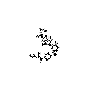 CCNC(=O)c1ccc(Nc2ncc(F)c(N3C[C@H]4CN(C(=O)C5CC5(F)F)C[C@H]4C3)n2)cc1